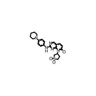 O=c1ccc2cnc(Nc3ccc(N4CCCCC4)cc3)nc2n1C1CCS(=O)(=O)C1